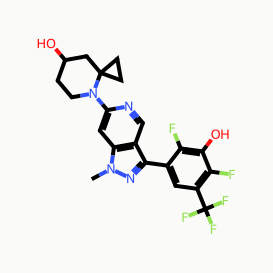 Cn1nc(-c2cc(C(F)(F)F)c(F)c(O)c2F)c2cnc(N3CCC(O)CC34CC4)cc21